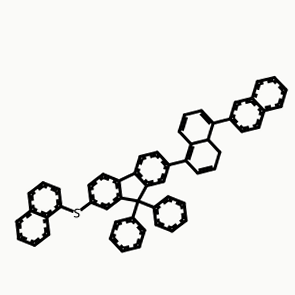 C1=CC2=C(c3ccc4c(c3)C(c3ccccc3)(c3ccccc3)c3cc(Sc5cccc6ccccc56)ccc3-4)C=CCC2C(c2ccc3ccccc3c2)=C1